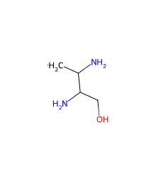 [CH2]C(N)C(N)CO